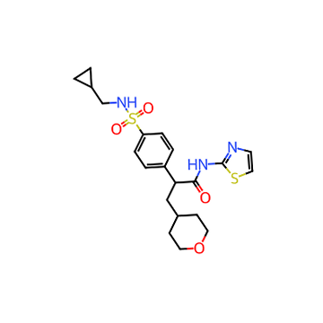 O=C(Nc1nccs1)C(CC1CCOCC1)c1ccc(S(=O)(=O)NCC2CC2)cc1